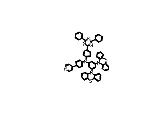 c1ccc(-c2nc(-c3ccccc3)nc(-c3ccc(N(c4ccc(-c5ccncc5)cc4)c4cc(N5c6ccccc6Sc6ccccc65)cc(N5c6ccccc6Sc6ccccc65)c4)cc3)n2)cc1